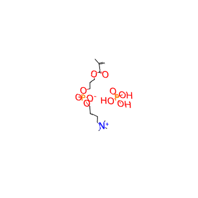 C=C(C)C(=O)OCCCOP(=O)([O-])OCCCC[N+](C)(C)C.O=P(O)(O)O